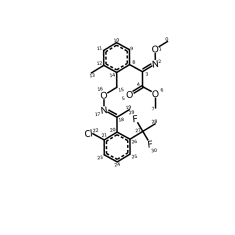 CO/N=C(/C(=O)OC)c1cccc(C)c1CO/N=C(\C)c1c(Cl)cccc1C(C)(F)F